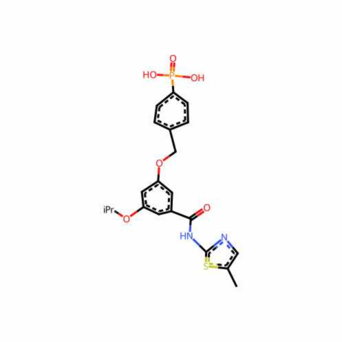 Cc1cnc(NC(=O)c2cc(OCc3ccc(P(=O)(O)O)cc3)cc(OC(C)C)c2)s1